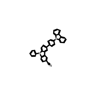 N#Cc1ccc2c(c1)c1cc(-c3ccc(-n4c5ccccc5c5ccccc54)cc3)ccc1n2-c1ccccc1